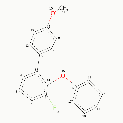 Fc1cc[c]c(-c2ccc(OC(F)(F)F)cc2)c1Oc1ccccc1